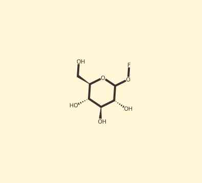 OC[C@H]1OC(OF)[C@H](O)[C@@H](O)[C@@H]1O